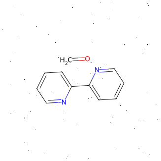 C=O.c1ccc(-c2ccccn2)nc1